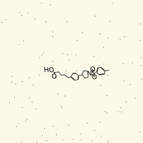 Cc1ccc(S(=O)(=O)N2CCC(c3ccc(CCCCC(=O)O)cc3)CC2)cc1